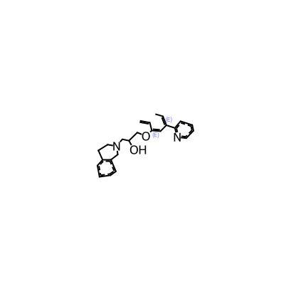 C=C/C(=C\C(=C/C)c1ccccn1)OCC(O)CN1CCc2ccccc2C1